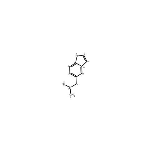 [2H]N(C)Cc1ccc2occc2c1